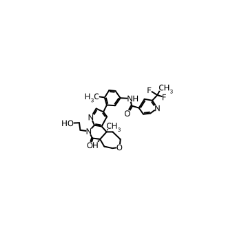 Cc1ccc(NC(=O)c2ccnc(C(C)(F)F)c2)cc1-c1cnc2c(c1)[C@@]1(C)CCOCC[C@@H]1C(=O)N2CCO